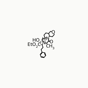 CCOC(=O)[C@H](CCc1ccccc1)NC(C)C(=O)N1C2CCOCC2CC[C@H]1C(=O)O